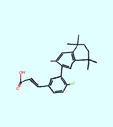 Cc1cc2c(cc1-c1cc(C=CC(=O)O)ccc1F)C(C)(C)CCC2(C)C